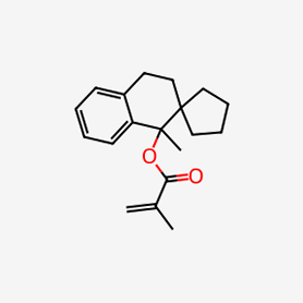 C=C(C)C(=O)OC1(C)c2ccccc2CCC12CCCC2